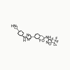 O=C(Cc1ccc(-c2cnc(Nc3ccc(C4CNC4)cc3)nc2)cc1F)Nc1cc(C2(C(F)(F)F)CC2)on1